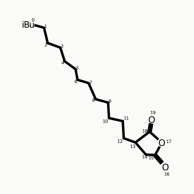 CCC(C)CCCCCCCCCCCCC1CC(=O)OC1=O